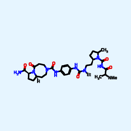 CCN(CC[C@H]1CCC(C)N1C(=O)NC(=O)C(C)NC)C(=O)Nc1ccc(NC(=O)N2CCC(=O)N3[C@H](CC[C@H]3C(N)=O)CC2)cc1